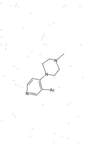 CC(=O)c1cnccc1N1CCN(C)CC1